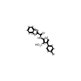 O=C(Nc1[se]cc(-c2ccc(Br)cc2)c1C(=O)O)c1nc2ccccc2s1